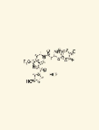 Cl.N[C@@H](CC(=O)N1CCn2c(C(F)(F)F)nc(C(=O)N3CC[C@@H](O)C3)c2C1)Cc1cc(F)c(F)cc1F